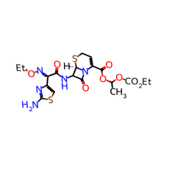 CCO/N=C(/C(=O)NC1C(=O)N2C(C(=O)OC(C)OC(=O)OCC)=CCS[C@H]12)c1csc(N)n1